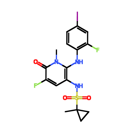 Cn1c(Nc2ccc(I)cc2F)c(NS(=O)(=O)C2(C)CC2)cc(F)c1=O